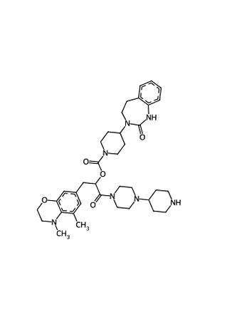 Cc1cc(CC(OC(=O)N2CCC(N3CCc4ccccc4NC3=O)CC2)C(=O)N2CCN(C3CCNCC3)CC2)cc2c1N(C)CCO2